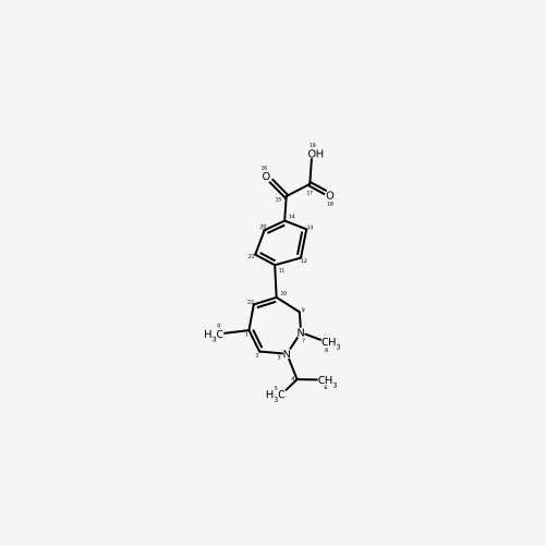 CC1=CN(C(C)C)N(C)CC(c2ccc(C(=O)C(=O)O)cc2)=C1